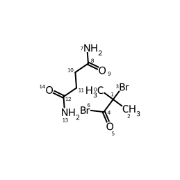 CC(C)(Br)C(=O)Br.NC(=O)CCC(N)=O